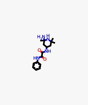 CC1(C)CC(NC(=O)C(=O)Nc2ccccc2)CC(C)(N)N1